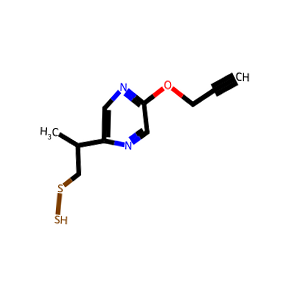 C#CCOc1cnc(C(C)CSS)cn1